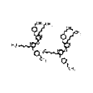 CCCCCCc1ncc(Oc2cnc(CCCCCC)c(C[C@H]3CC[C@H](CC)CC3)c2)cc1C[C@H]1CC[C@H](CC)CC1.CCCCCCc1ncc(Oc2cnc(CCCCCC)c(C[C@H]3CC[C@H](CCC)CC3)c2)cc1C[C@H]1CC[C@H](CCC)CC1